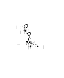 C#CCNC(=O)C(C#N)=c1sc(=CNc2cccc(NC(=O)CN(C)c3ccccc3)c2)c(=O)n1CC